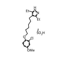 CCc1n[nH]c(CC)c1CCCCCCOc1ccc(OC)cc1Cl.CS(=O)(=O)O